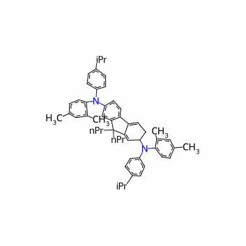 CCCC1(CCC)C2=CC(N(c3ccc(C(C)C)cc3)c3ccc(C)cc3C)CC=C2c2ccc(N(c3ccc(C(C)C)cc3)c3ccc(C)cc3C)cc21